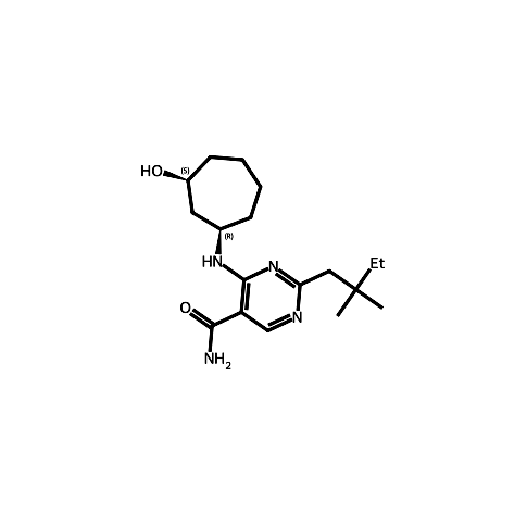 CCC(C)(C)Cc1ncc(C(N)=O)c(N[C@@H]2CCCC[C@H](O)C2)n1